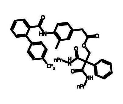 CCCNC(=O)C(COC(=O)Cc1ccc(NC(=O)c2ccccc2-c2ccc(C(F)(F)F)cc2)c(C)c1)(C(=O)NCCC)c1ccccc1